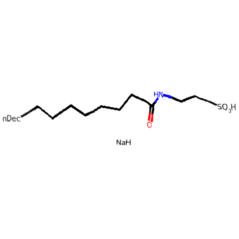 CCCCCCCCCCCCCCCCCC(=O)NCCS(=O)(=O)O.[NaH]